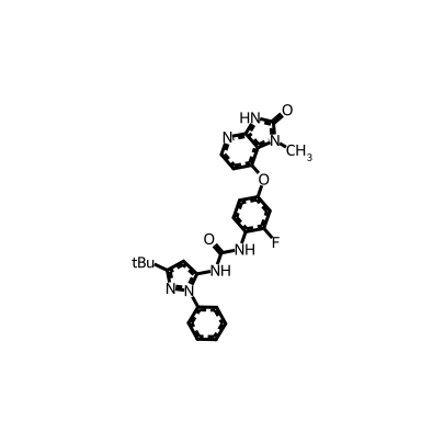 Cn1c(=O)[nH]c2nccc(Oc3ccc(NC(=O)Nc4cc(C(C)(C)C)nn4-c4ccccc4)c(F)c3)c21